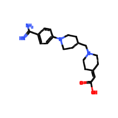 N=C(N)c1ccc(N2CCC(CN3CCC(=CC(=O)O)CC3)CC2)cc1